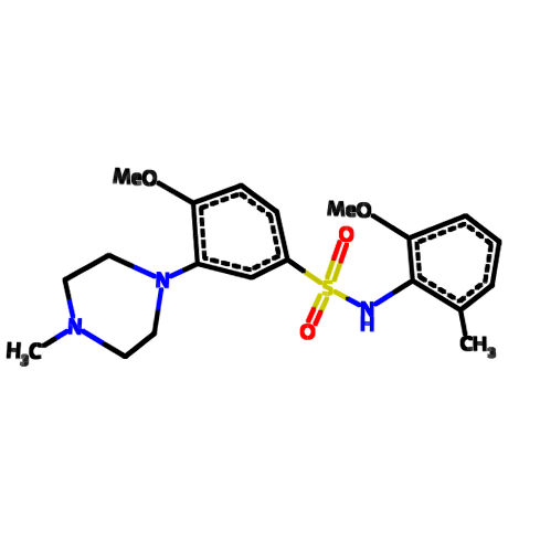 COc1ccc(S(=O)(=O)Nc2c(C)cccc2OC)cc1N1CCN(C)CC1